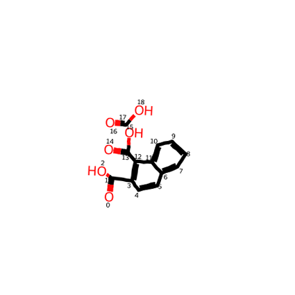 O=C(O)c1ccc2ccccc2c1C(=O)O.O=CO